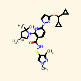 Cc1nn(C)cc1SNC(=O)c1ccc(-n2ccc(OC(C3CC3)C3CC3)n2)nc1N1C[C@@H](C)CC1(C)C